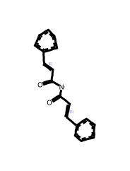 O=C(/C=C/c1ccccc1)[N]C(=O)/C=C/c1ccccc1